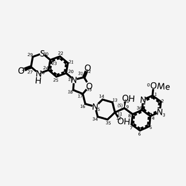 COc1cnc2cccc([C@H](O)C3(O)CCN(CC4CN(c5ccc6c(c5)NC(=O)CS6)C(=O)O4)CC3)c2n1